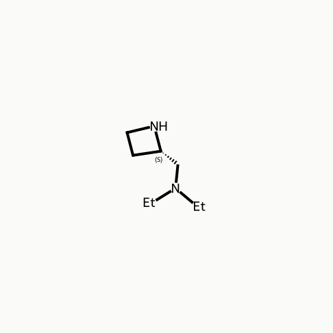 CCN(CC)C[C@@H]1CCN1